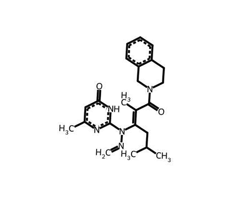 C=NN(/C(CC(C)C)=C(\C)C(=O)N1CCc2ccccc2C1)c1nc(C)cc(=O)[nH]1